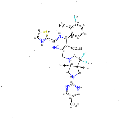 CCOC(=O)C1=C(CN2CC(F)(F)[C@@H]3CN(c4ncc(C(=O)O)cn4)C[C@@H]32)NC(c2nccs2)=N[C@H]1c1cccc(F)c1C